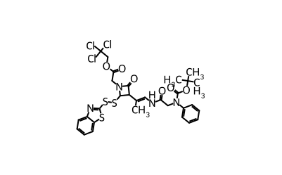 CC(=CNC(=O)CN(C(=O)OC(C)(C)C)c1ccccc1)C1C(=O)N(CC(=O)OCC(Cl)(Cl)Cl)C1SSc1nc2ccccc2s1